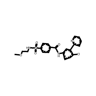 COCCNS(=O)(=O)c1ccc(C(=O)Nc2ccc(Cl)c(-c3ccccn3)c2)cc1